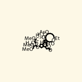 CC[C@H]1CCC[C@H](OC(C)=O)[C@@H](C)C(=O)C2=C[C@@H]3[C@@H](C4OC(=O)CC4C4C[C@@H](OC(OC(C)[C@@H](C)OC)[C@H](COC)OC)C[C@H]43)[C@@H]2CC(=O)O1